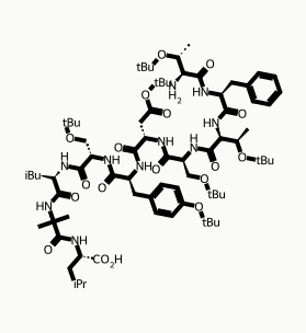 CC[C@H](C)[C@H](NC(=O)[C@H](COC(C)(C)C)NC(=O)[C@H](Cc1ccc(OC(C)(C)C)cc1)NC(=O)[C@H](CC(=O)OC(C)(C)C)NC(=O)[C@H](COC(C)(C)C)NC(=O)[C@@H](NC(=O)[C@H](Cc1ccccc1)NC(=O)[C@@H](N)[C@@H](C)OC(C)(C)C)[C@@H](C)OC(C)(C)C)C(=O)NC(C)(C)C(=O)N[C@@H](CC(C)C)C(=O)O